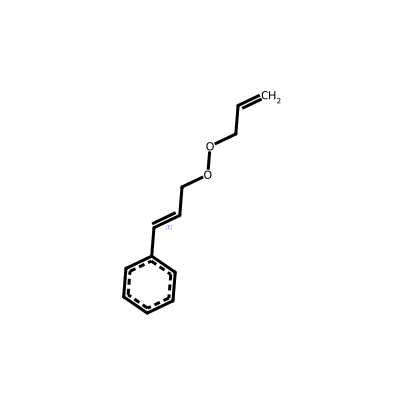 C=CCOOC/C=C/c1ccccc1